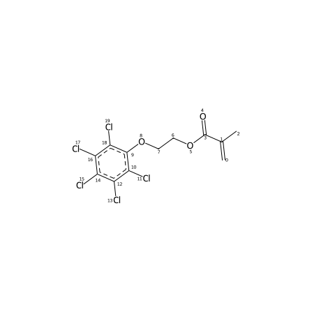 C=C(C)C(=O)OCCOc1c(Cl)c(Cl)c(Cl)c(Cl)c1Cl